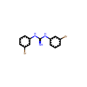 N=C(Nc1cccc(Br)c1)Nc1cccc(Br)c1